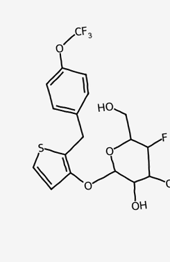 OCC1OC(Oc2ccsc2Cc2ccc(OC(F)(F)F)cc2)C(O)C(O)C1F